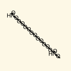 CCOCCNC(=O)CCOCCOCCOCCOCCOCCOCCOCCOCCOCCOCCOCCOCCNC(C)=O